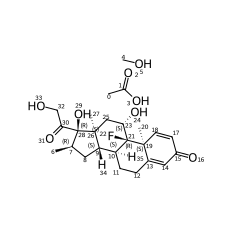 CC(=O)O.CO.C[C@@H]1C[C@H]2[C@@H]3CCC4=CC(=O)C=C[C@]4(C)[C@@]3(F)[C@@H](O)C[C@]2(C)[C@@]1(O)C(=O)CO